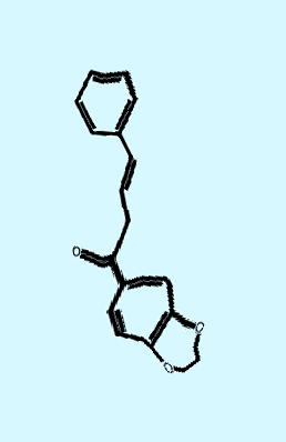 O=C(C/C=C/c1ccccc1)c1ccc2c(c1)OCO2